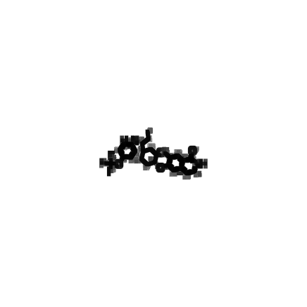 CC[C@@H](N)[C@]1(c2cccc(OC(F)(F)F)c2)CC[C@@H](Oc2cc3cc[nH]c(=O)c3cc2Cl)CC1